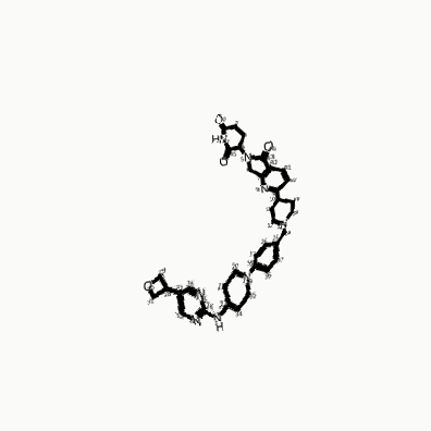 O=C1CCC(N2Cc3nc(C4CCN(Cc5ccc(N6CCC(Nc7ncc(C8COC8)cn7)CC6)cc5)CC4)ccc3C2=O)C(=O)N1